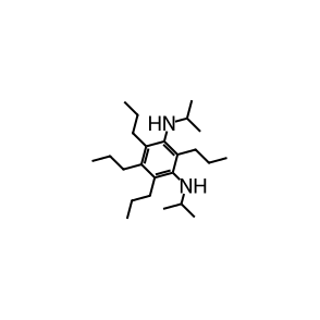 CCCc1c(CCC)c(NC(C)C)c(CCC)c(NC(C)C)c1CCC